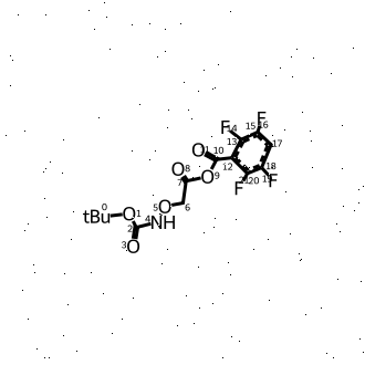 CC(C)(C)OC(=O)NOCC(=O)OC(=O)c1c(F)c(F)cc(F)c1F